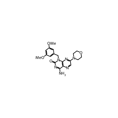 COc1cc(Cn2c(=O)nc(N)c3ncc(N4CCOCC4)nc32)cc(OC)c1